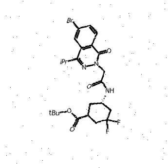 CC(C)c1nn(CC(=O)N[C@H]2CC(C(=O)OC(C)(C)C)CC(F)(F)C2)c(=O)c2ccc(Br)cc12